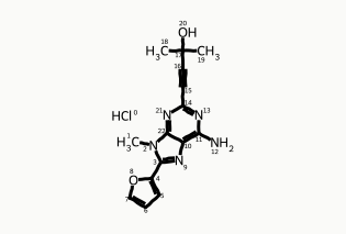 Cl.Cn1c(-c2ccco2)nc2c(N)nc(C#CC(C)(C)O)nc21